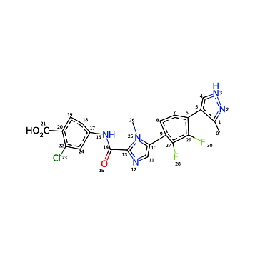 Cc1n[nH]cc1-c1ccc(-c2cnc(C(=O)Nc3ccc(C(=O)O)c(Cl)c3)n2C)c(F)c1F